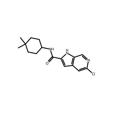 CC1(C)CCC(NC(=O)c2cc3cc(Cl)ncc3[nH]2)CC1